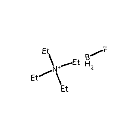 BF.CC[N+](CC)(CC)CC